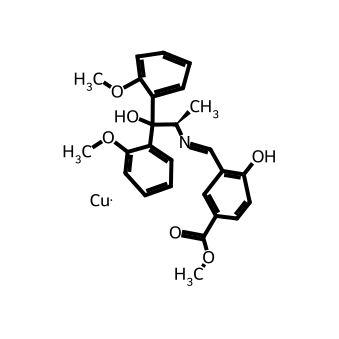 COC(=O)c1ccc(O)c(C=N[C@H](C)C(O)(c2ccccc2OC)c2ccccc2OC)c1.[Cu]